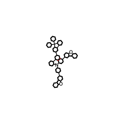 c1ccc(C2(c3ccccc3)c3ccccc3-c3cc(-c4cccc(-c5ccccc5N(c5ccc(-c6ccc7oc8ccccc8c7c6)cc5)c5ccc(-c6ccc7oc8ccccc8c7c6)cc5)c4)ccc32)cc1